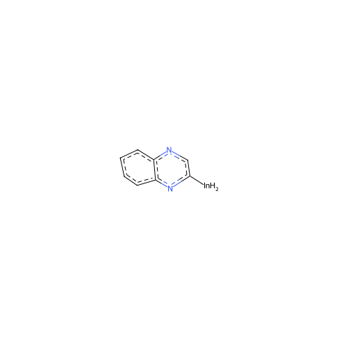 [InH2][c]1cnc2ccccc2n1